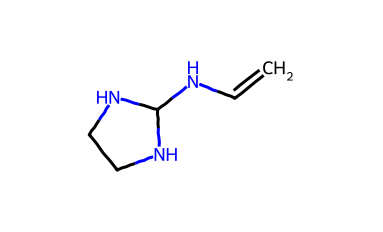 C=CNC1NCCN1